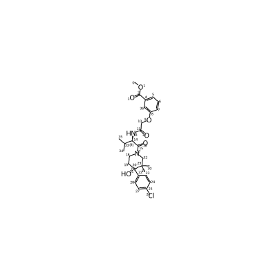 COC(=O)c1cccc(OCC(=O)N[C@@H](C(=O)N2CC[C@](O)(c3ccc(Cl)cc3)C(C)(C)C2)C(C)C)c1